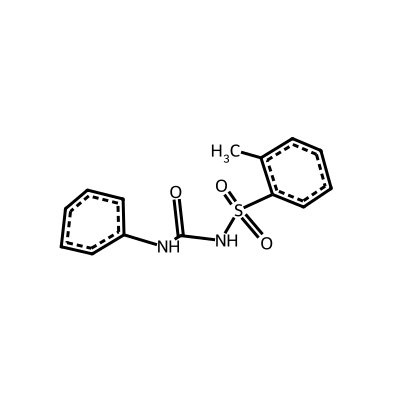 Cc1ccccc1S(=O)(=O)NC(=O)Nc1ccccc1